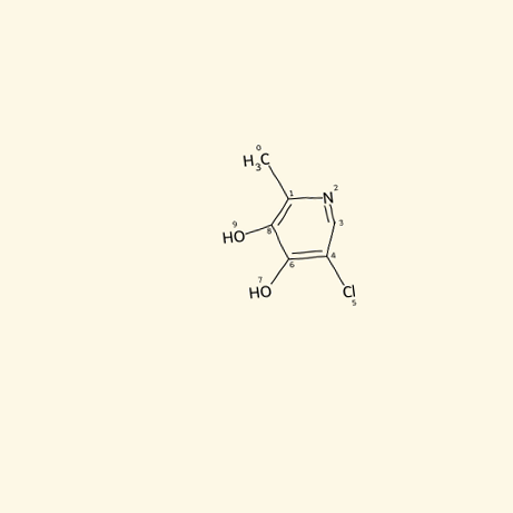 Cc1ncc(Cl)c(O)c1O